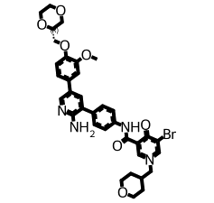 COc1cc(-c2cnc(N)c(-c3ccc(NC(=O)c4cn(CC5CCOCC5)cc(Br)c4=O)cc3)c2)ccc1OC[C@H]1COCCO1